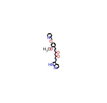 COc1cc(OCc2ccccn2)ccc1/C=C/C(=O)CC(=O)/C=C/c1c[nH]c2ncccc12